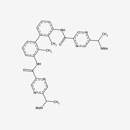 CNC(C)c1cnc(C(=O)Nc2cccc(-c3cccc(NC(=O)c4cnc(C(C)NC)cn4)c3C)c2C)cn1